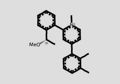 CO[C@@H](C)c1ccccc1-c1cc(-c2cccc(C)c2C)cc[n+]1C